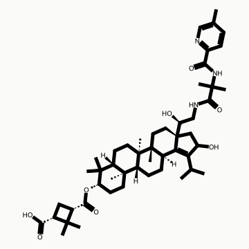 Cc1ccc(C(=O)NC(C)(C)C(=O)NC[C@H](O)[C@@]23CC[C@]4(C)[C@H](CC[C@@H]5[C@@]6(C)CC[C@H](OC(=O)[C@H]7C[C@@H](C(=O)O)C7(C)C)C(C)(C)[C@@H]6CC[C@]54C)C2=C(C(C)C)C(O)C3)nc1